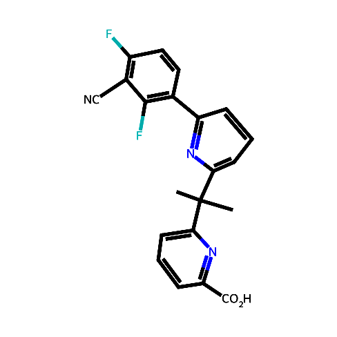 CC(C)(c1cccc(C(=O)O)n1)c1cccc(-c2ccc(F)c(C#N)c2F)n1